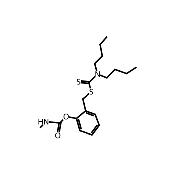 CCCCN(CCCC)C(=S)SCc1ccccc1OC(=O)NC